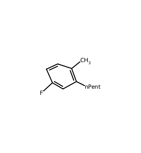 CCCCCc1cc(F)ccc1C